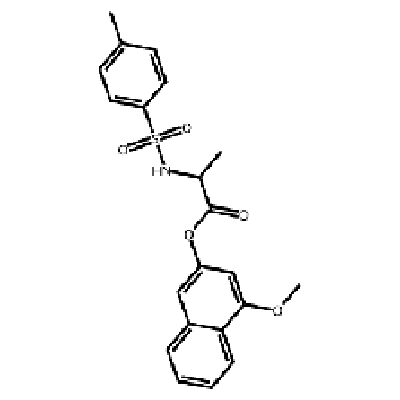 COc1cc(OC(=O)C(C)NS(=O)(=O)c2ccc(C)cc2)cc2ccccc12